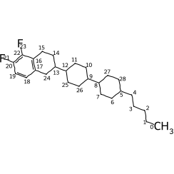 CCCCCC1CCC(C2CCC(C3CCc4c(ccc(F)c4F)C3)CC2)CC1